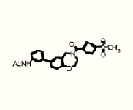 CC(=O)Nc1cccc(-c2ccc3c(c2)CN(C(=O)c2ccc(S(C)(=O)=O)cc2)CCO3)c1